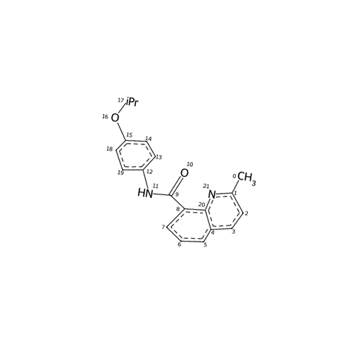 Cc1ccc2cccc(C(=O)Nc3ccc(OC(C)C)cc3)c2n1